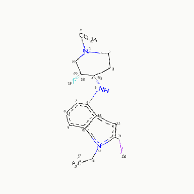 O=C(O)N1CC[C@H](Nc2cccc3c2cc(I)n3CC(F)(F)F)[C@H](F)C1